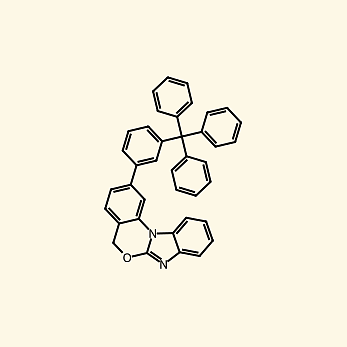 c1ccc(C(c2ccccc2)(c2ccccc2)c2cccc(-c3ccc4c(c3)-n3c(nc5ccccc53)OC4)c2)cc1